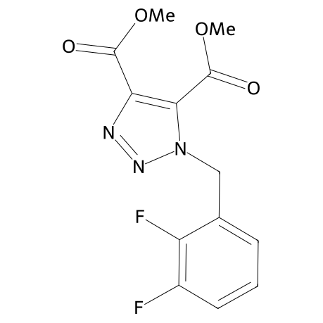 COC(=O)c1nnn(Cc2cccc(F)c2F)c1C(=O)OC